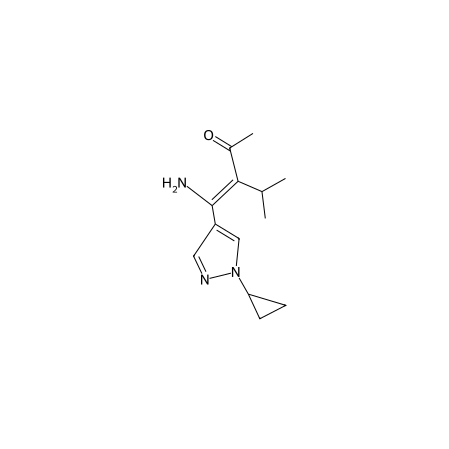 CC(=O)/C(=C(\N)c1cnn(C2CC2)c1)C(C)C